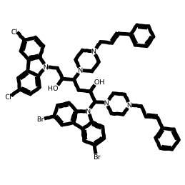 OC(Cn1c2ccc(Cl)cc2c2cc(Cl)ccc21)C(CC(O)C(N1CCN(C/C=C/c2ccccc2)CC1)n1c2ccc(Br)cc2c2cc(Br)ccc21)N1CCN(C/C=C/c2ccccc2)CC1